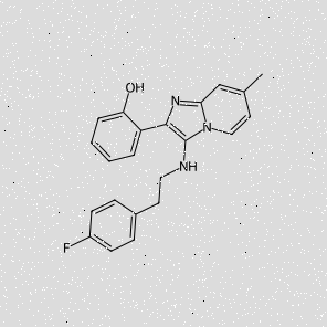 Cc1ccn2c(NCCc3ccc(F)cc3)c(-c3ccccc3O)nc2c1